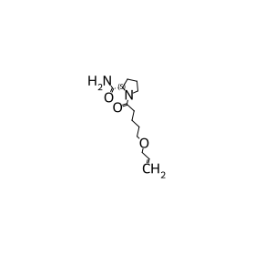 C=CCOCCCCC(=O)N1CCC[C@H]1C(N)=O